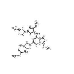 C=CC(=O)NC1CN(c2nc(Nc3cn(C4CCN(C)C4)nc3OC)c3ncc(CC)n3n2)CC1F